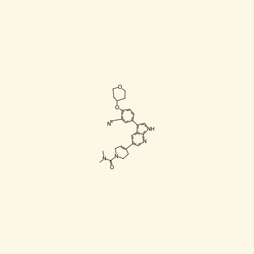 CN(C)C(=O)N1CC=C(c2cnc3[nH]cc(-c4ccc(OC5CCOCC5)c(C#N)c4)c3c2)CC1